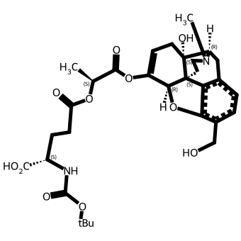 C[C@H](OC(=O)CC[C@H](NC(=O)OC(C)(C)C)C(=O)O)C(=O)OC1=CC[C@@]2(O)[C@H]3Cc4ccc(CO)c5c4[C@@]2(CCN3C)[C@H]1O5